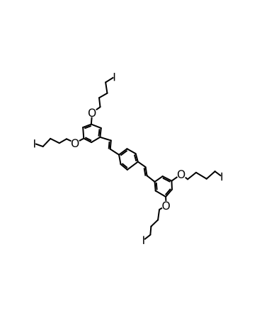 ICCCCOc1cc(C=Cc2ccc(C=Cc3cc(OCCCCI)cc(OCCCCI)c3)cc2)cc(OCCCCI)c1